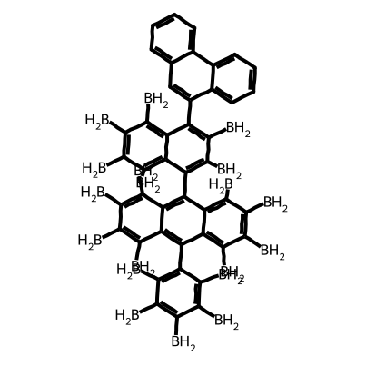 Bc1c(B)c(B)c(-c2c3c(B)c(B)c(B)c(B)c3c(-c3c(B)c(B)c(-c4cc5ccccc5c5ccccc45)c4c(B)c(B)c(B)c(B)c34)c3c(B)c(B)c(B)c(B)c23)c(B)c1B